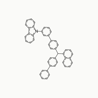 c1ccc(-c2ccc(C(c3ccc(-c4cccc(-n5c6ccccc6c6ccccc65)c4)cc3)c3cccc4ccccc34)cc2)cc1